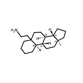 C[C@@]12CCC[C@H]1[C@@H]1CCC3(CCN)CCCC[C@@H]3[C@H]1CC2